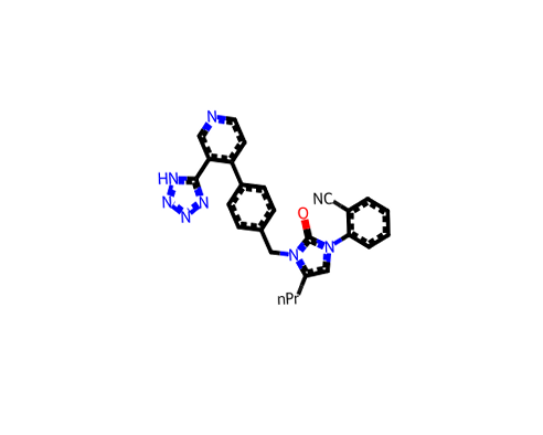 CCCc1cn(-c2ccccc2C#N)c(=O)n1Cc1ccc(-c2ccncc2-c2nnn[nH]2)cc1